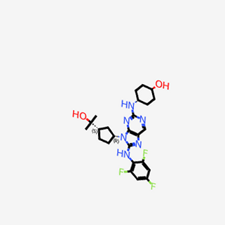 CC(C)(O)[C@H]1CC[C@@H](n2c(Nc3c(F)cc(F)cc3F)nc3cnc(N[C@H]4CC[C@H](O)CC4)nc32)C1